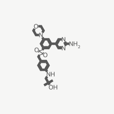 CC(C)(O)CNc1ccc(CS(=O)(=O)c2cc(-c3cnc(N)nc3)cc(N3CCOCC3)c2)cc1